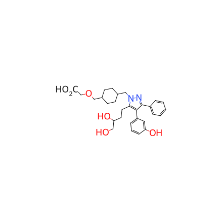 O=C(O)COCC1CCC(Cn2nc(-c3ccccc3)c(-c3cccc(O)c3)c2CCC(O)CO)CC1